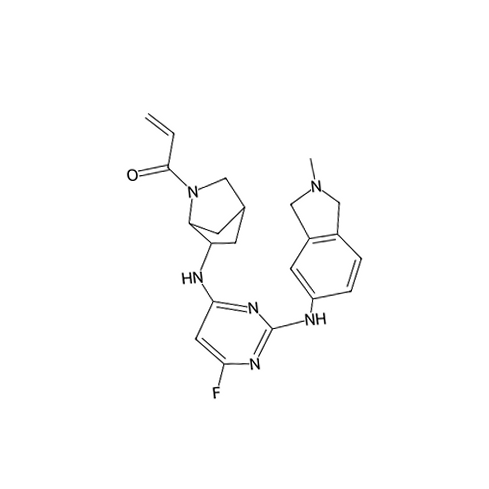 C=CC(=O)N1CC2CC(Nc3cc(F)nc(Nc4ccc5c(c4)CN(C)C5)n3)C1C2